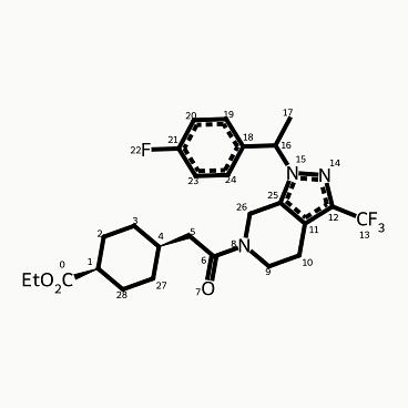 CCOC(=O)[C@H]1CC[C@@H](CC(=O)N2CCc3c(C(F)(F)F)nn(C(C)c4ccc(F)cc4)c3C2)CC1